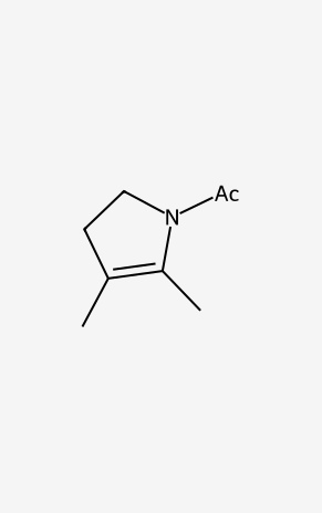 CC(=O)N1CCC(C)=C1C